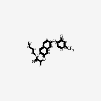 CC(Oc1ccc2ccc(Oc3ccc(C(F)(F)F)cc3Cl)cc2c1)C(=O)OCCCBr